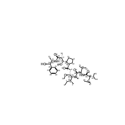 CC[C@H](C)[C@@H]([C@@H](CC(=O)N1CCC[C@H]1C(OC)[C@@H](C)C(=O)N[C@H](C)C(O)c1ccccc1)OC)N(C)C(=O)[C@@H](NC(=O)[C@H](C(C)C)N(C)C)C(C)C